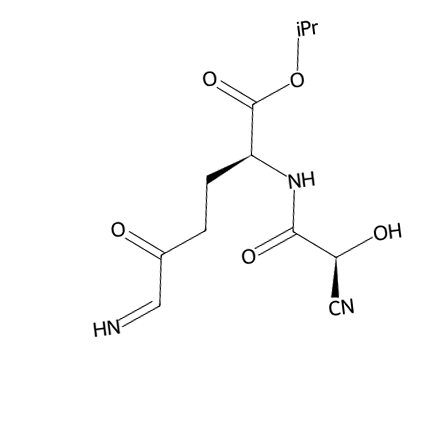 CC(C)OC(=O)[C@H](CCC(=O)C=N)NC(=O)[C@@H](O)C#N